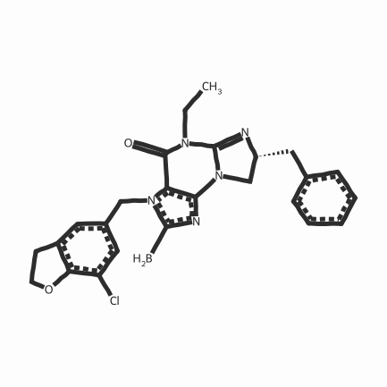 Bc1nc2c(n1Cc1cc(Cl)c3c(c1)CCO3)C(=O)N(CC)C1=N[C@H](Cc3ccccc3)CN12